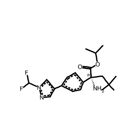 CC(C)OC(=O)[C@@](N)(CC(C)(C)C)c1ccc(-c2cnn(C(F)F)c2)cc1